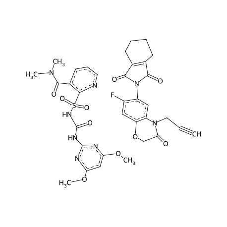 C#CCN1C(=O)COc2cc(F)c(N3C(=O)C4=C(CCCC4)C3=O)cc21.COc1cc(OC)nc(NC(=O)NS(=O)(=O)c2ncccc2C(=O)N(C)C)n1